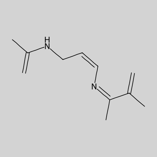 C=C(C)NC/C=C\N=C(\C)C(=C)C